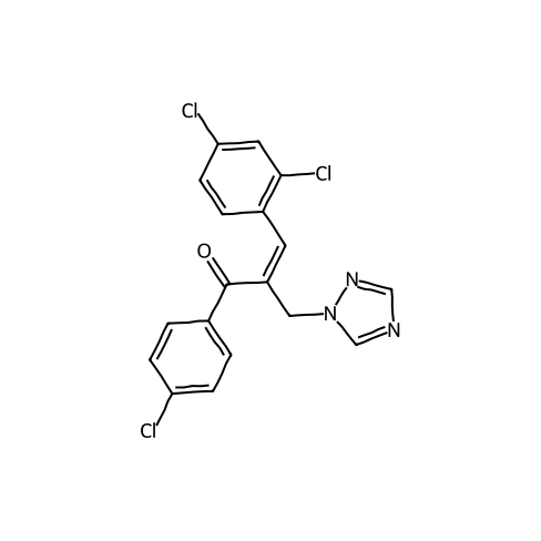 O=C(C(=Cc1ccc(Cl)cc1Cl)Cn1cncn1)c1ccc(Cl)cc1